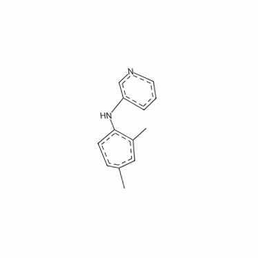 Cc1ccc(Nc2cccnc2)c(C)c1